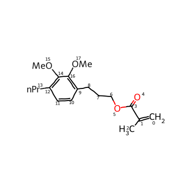 C=C(C)C(=O)OCCCc1ccc(CCC)c(OC)c1OC